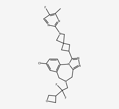 Cc1nc(N2CC3(CC(c4nnc5n4-c4ccc(Cl)cc4CN(CC(F)(F)C4COC4)C5)C3)C2)ncc1F